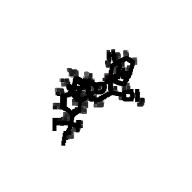 CC(CN1C2CC[C@@H]1CC(OCC1CC1)C2)Cn1ncc2ccc(C(F)(F)F)cc21